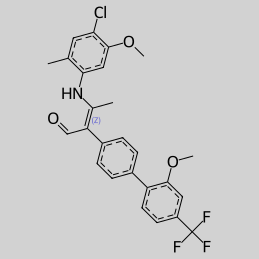 COc1cc(N/C(C)=C(\C=O)c2ccc(-c3ccc(C(F)(F)F)cc3OC)cc2)c(C)cc1Cl